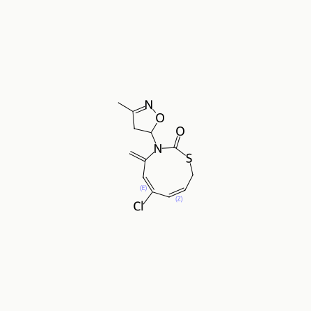 C=C1/C=C(Cl)\C=C/CSC(=O)N1C1CC(C)=NO1